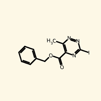 Cc1nnc(I)nc1C(=O)OCc1ccccc1